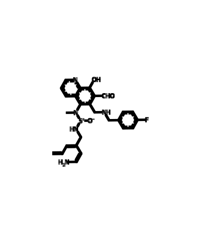 C=C/C=C(\C=C/N)CN[S+]([O-])N(C)c1c(CNCc2ccc(F)cc2)c(C=O)c(O)c2ncccc12